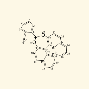 Brc1ccccc1-p1oc2ccc3ccccc3c2c2c(ccc3ccccc32)o1